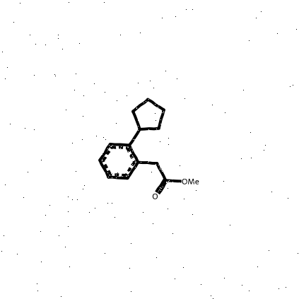 [CH2]OC(=O)Cc1ccccc1C1CCCC1